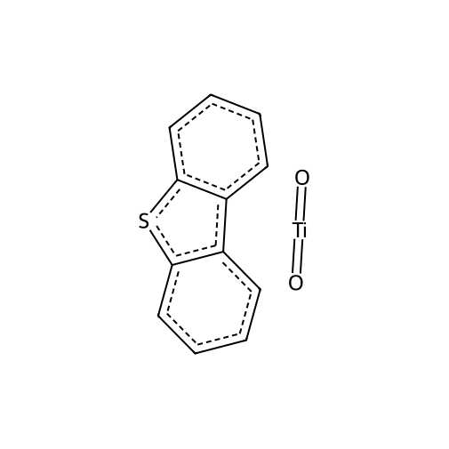 [O]=[Ti]=[O].c1ccc2c(c1)sc1ccccc12